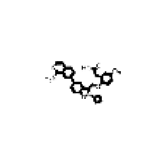 COc1ccc(OCc2c3cc(-c4ccc5ccnc(N)c5c4)ccc3nn2C2CCC2)c(CC(=O)O)c1